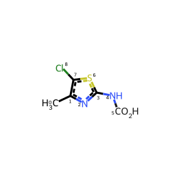 Cc1nc(NC(=O)O)sc1Cl